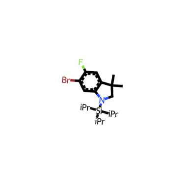 CC(C)[Si](C(C)C)(C(C)C)N1CC(C)(C)c2cc(F)c(Br)cc21